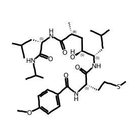 COc1ccc(C(=O)N[C@@H](CCSC)C(=O)N[C@@H](CC(C)C)[C@@H](O)C[C@@H](C)C(=O)N[C@@H](CC(C)C)C(=O)NC(C)C)cc1